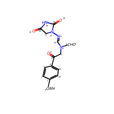 COc1ccc(C(=O)CN(C=O)/C=N/N2CC(=O)NC2=O)cc1